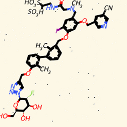 Cc1c(COc2cc(OCc3cncc(C#N)c3)c(CN(C)CC(=O)NCC(S(=O)(=O)O)S(=O)(=O)O)cc2I)cccc1-c1cccc(OCc2cn([C@@H]3O[C@H](CO)[C@@H](O)[C@H](O)[C@H]3F)nn2)c1C